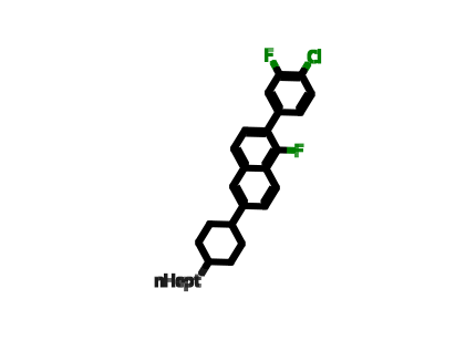 CCCCCCCC1CCC(c2ccc3c(F)c(-c4ccc(Cl)c(F)c4)ccc3c2)CC1